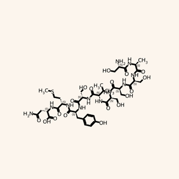 CSCC[C@H](NC(=O)[C@H](Cc1ccc(O)cc1)NC(=O)[C@H](CO)NC(=O)[C@@H](NC(=O)[C@H](CO)NC(=O)[C@H](CO)NC(=O)[C@H](CO)NC(=O)[C@H](C)NC(=O)[C@@H](N)CO)C(C)C)C(=O)N[C@@H](CC(N)=O)C(=O)O